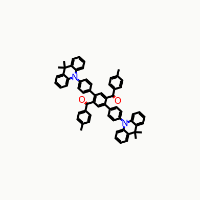 Cc1ccc(C(=O)c2cc(-c3ccc(N4c5ccccc5C(C)(C)c5ccccc54)cc3)c(C(=O)c3ccc(C)cc3)cc2-c2ccc(N3c4ccccc4C(C)(C)c4ccccc43)cc2)cc1